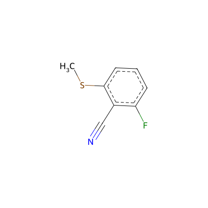 CSc1cccc(F)c1C#N